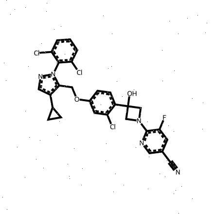 N#Cc1cnc(N2CC(O)(c3ccc(OCc4c(C5CC5)cnn4-c4c(Cl)cccc4Cl)cc3Cl)C2)c(F)c1